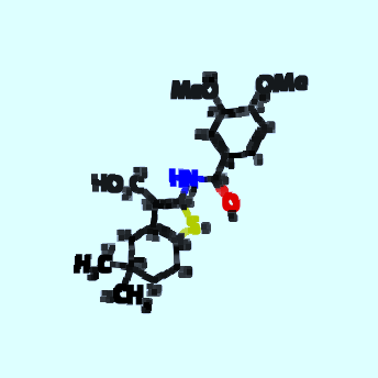 COc1ccc(C(=O)Nc2sc3c(c2C(=O)O)CC(C)(C)CC3)cc1OC